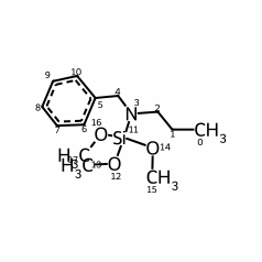 CCCN(Cc1ccccc1)[Si](OC)(OC)OC